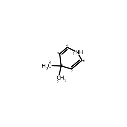 CC1(C)C=CNC=C1